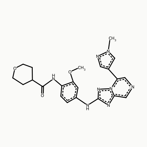 COc1cc(Nc2nc3cncc(-c4cnn(C)c4)n3n2)ccc1NC(=O)C1CCOCC1